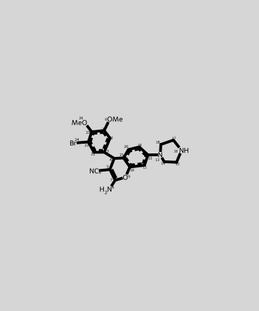 COc1cc(C2C(C#N)=C(N)Oc3cc(N4CCNCC4)ccc32)cc(Br)c1OC